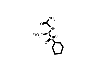 CCOC(=O)N(NC(N)=O)S(=O)(=O)C1CCCCC1